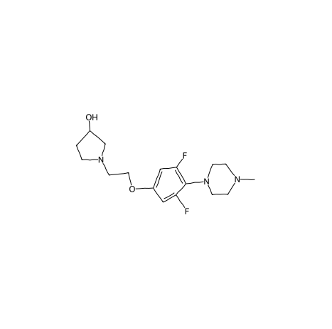 CN1CCN(c2c(F)cc(OCCN3CCC(O)C3)cc2F)CC1